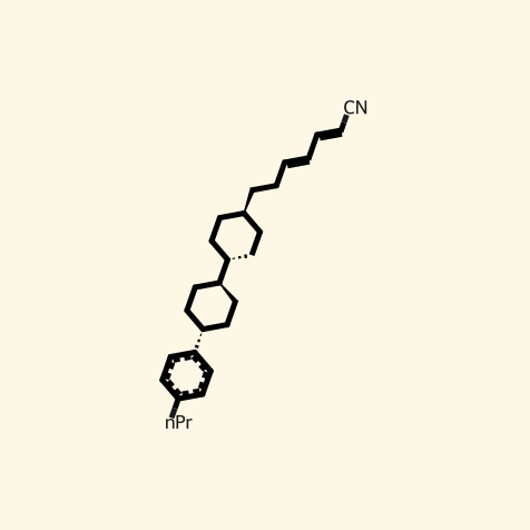 CCCc1ccc([C@H]2CC[C@H]([C@H]3CC[C@H](CCC=CC=CC#N)CC3)CC2)cc1